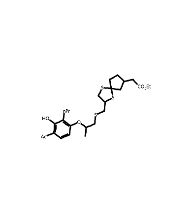 CCCc1c(OC(C)CSCC2CSC3(CCC(CC(=O)OCC)C3)S2)ccc(C(C)=O)c1O